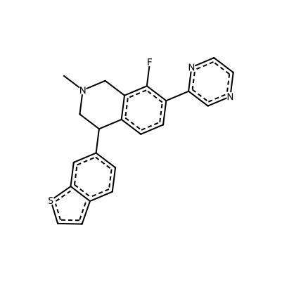 CN1Cc2c(ccc(-c3cnccn3)c2F)C(c2ccc3ccsc3c2)C1